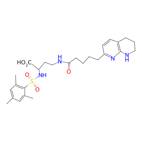 Cc1cc(C)c(S(=O)(=O)NC(CCNC(=O)CCCCc2ccc3c(n2)NCCC3)C(=O)O)c(C)c1